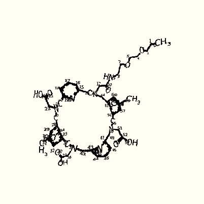 CCCOCCOCCNC(=O)CN1Cc2cccc(n2)CN(CC(=O)O)Cc2cc(C)cc(c2O)CN(CC(=O)O)Cc2cccc(n2)CN(CC(=O)O)Cc2cc(C)cc(c2O)C1